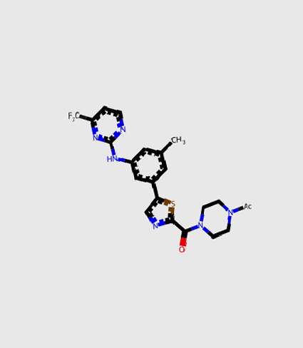 CC(=O)N1CCN(C(=O)c2ncc(-c3cc(C)cc(Nc4nccc(C(F)(F)F)n4)c3)s2)CC1